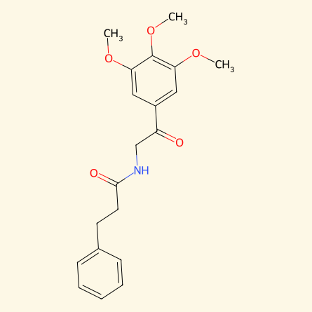 COc1cc(C(=O)CNC(=O)CCc2ccccc2)cc(OC)c1OC